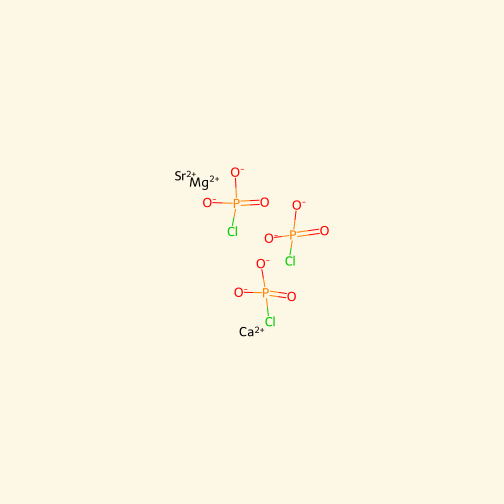 O=P([O-])([O-])Cl.O=P([O-])([O-])Cl.O=P([O-])([O-])Cl.[Ca+2].[Mg+2].[Sr+2]